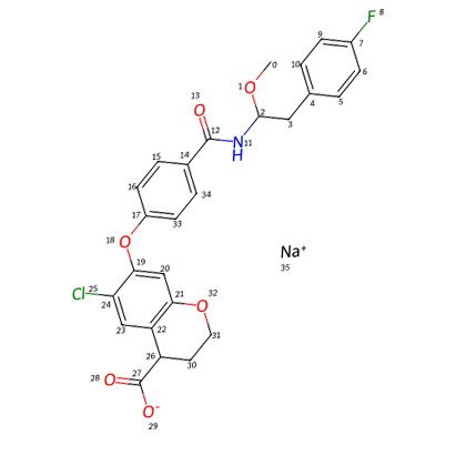 COC(Cc1ccc(F)cc1)NC(=O)c1ccc(Oc2cc3c(cc2Cl)C(C(=O)[O-])CCO3)cc1.[Na+]